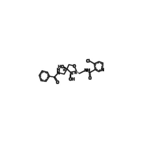 O=C(NC[C@]1(O)CO[C@H](CNC(=O)c2cnccc2Cl)[C@H]1O)c1ccccc1